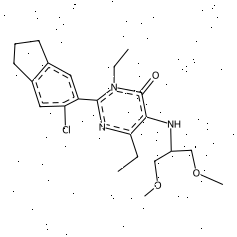 CCc1nc(-c2cc3c(cc2Cl)CCC3)n(CC)c(=O)c1NC(COC)COC